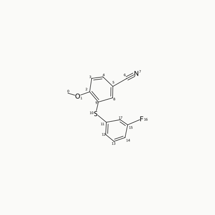 COc1ccc(C#N)cc1Sc1cccc(F)c1